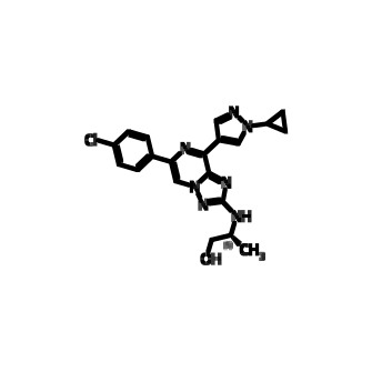 C[C@@H](CO)Nc1nc2c(-c3cnn(C4CC4)c3)nc(-c3ccc(Cl)cc3)cn2n1